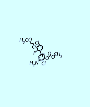 COCCOc1c(Cl)ccc(-c2cc(N)c(Cl)c(OC(=O)OC)n2)c1F